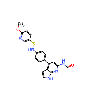 COc1ccc(SNc2ccc(-c3cc(NC=O)nc4[nH]ccc34)cc2)cn1